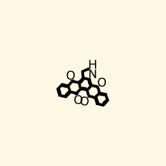 O=c1c2ccccc2c(=O)c2c1c1c(c3c(=O)c4ccccc4c(=O)c32)NCC1